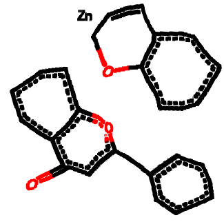 C1=Cc2ccccc2OC1.O=c1cc(-c2ccccc2)oc2ccccc12.[Zn]